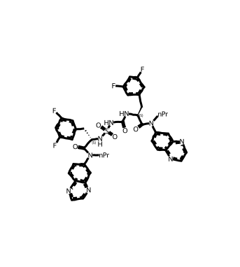 CCCN(C(=O)[C@H](Cc1cc(F)cc(F)c1)NC(=O)NS(=O)(=O)N[C@@H](Cc1cc(F)cc(F)c1)C(=O)N(CCC)c1ccc2nccnc2c1)c1ccc2nccnc2c1